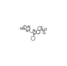 COC(=O)N1c2ccc3c(nc(Cc4cnc5cc[nH]c5n4)n3C3CCCCC3)c2CC[C@@H]1C